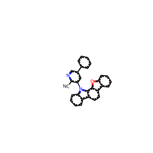 N#Cc1ncc(-c2ccccc2)cc1-n1c2ccccc2c2ccc3c4ccccc4oc3c21